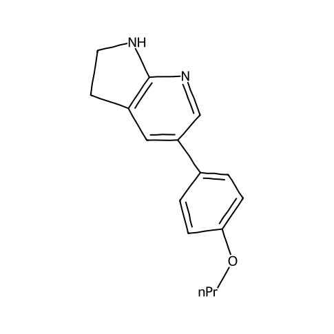 CCCOc1ccc(-c2cnc3c(c2)CCN3)cc1